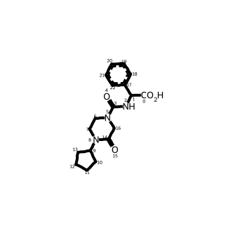 O=C(O)C(NC(=O)N1CCN(C2CCCC2)C(=O)C1)c1ccccc1